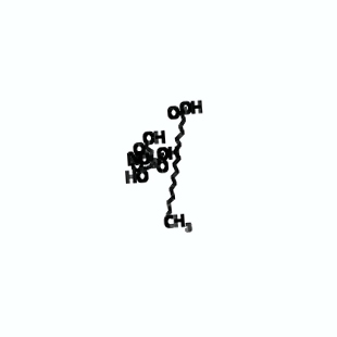 CCCCCCCCCCCCCCCCCC(=O)O.N.O=C(O)CC(O)(CC(=O)O)C(=O)O